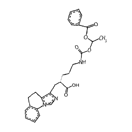 CC(OC(=O)NCCC[C@@H](Cc1ncn2c1CCc1ccccc1-2)C(=O)O)OC(=O)c1ccccc1